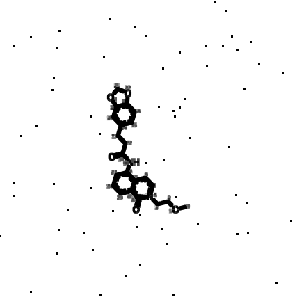 COCCn1ccc2c(NC(=O)CCc3ccc4c(c3)OCO4)cccc2c1=O